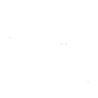 COc1cc(NC2CCC(N)CC2)ccc1C(N)=O